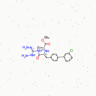 CC[C@H](N[C@@H](Cc1ccc(-c2cccc(Cl)c2)cc1)C(=O)N/C(=N/N)NN)C(=O)OC(C)(C)C